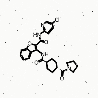 O=C(Nc1ccc(Cl)cn1)c1oc2ccccc2c1NC(=O)[C@H]1CC[C@H](C(=O)N2CCCC2)CC1